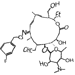 CC[C@H]1OC(=O)C[C@@H](O)[C@H](C)[C@@H](OC2OC(C)C(O)C(N(C)C)C2O)[C@@H](CC=O)C[C@@H](C)C(=N\OCc2ccc(F)cc2)/C=C/C(C)=C/C1CO